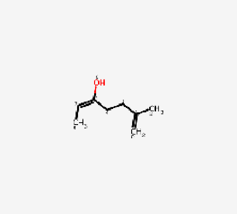 C=C(C)CC/C(O)=C\C